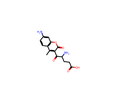 Cc1c(C(=O)C(N)CCC(=O)O)c(=O)oc2cc(N)ccc12